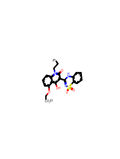 CCOC(=O)COc1cccc2c1c(O)c(C1=NS(=O)(=O)c3ccccc3N1)c(=O)n2CCC(C)C